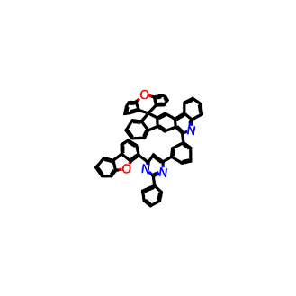 c1ccc(-c2nc(-c3cccc(-c4nc5ccccc5c5cc6c(cc45)-c4ccccc4C64c5ccccc5Oc5ccccc54)c3)cc(-c3cccc4c3oc3ccccc34)n2)cc1